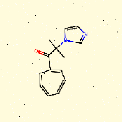 CC(C)(C(=O)C1=CC=CC=C=C1)n1ccnc1